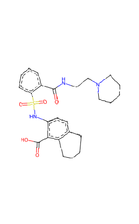 O=C(NCCN1CCCCC1)c1ccccc1S(=O)(=O)Nc1ccc2c(c1C(=O)O)CCCC2